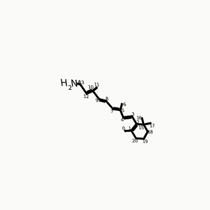 CC1=C(/C=C/C(C)=C/C=C/C(C)=C/CN)C(C)(C)CCC1